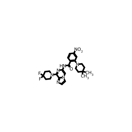 CC1(C)CCN(c2cc([N+](=O)[O-])ccc2C(=O)Nc2cn3ccnc3c(N3CCC(F)(F)CC3)n2)CC1